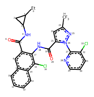 CCC1CC1NC(=O)c1cc2ccccc2c(Cl)c1NC(=O)c1cc(C(F)(F)F)nn1-c1ncccc1Cl